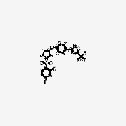 O=S(=O)(c1ccc(F)cc1F)N1CC[C@H](Oc2ccc(-c3noc(C(F)(F)F)n3)cc2)C1